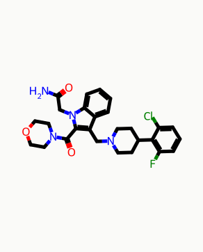 NC(=O)Cn1c(C(=O)N2CCOCC2)c(CN2CCC(c3c(F)cccc3Cl)CC2)c2ccccc21